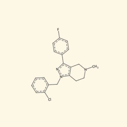 CN1CCc2c(c(-c3ccc(F)cc3)nn2Cc2ccccc2Cl)C1